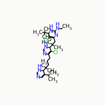 CCNC1=NC(CC(C)(C)C2NC=NC(CCCC(C)(C)C3NC=NC=C3C(C)C)=C2Cl)=C(Cl)C(C(C)(C)C)N1